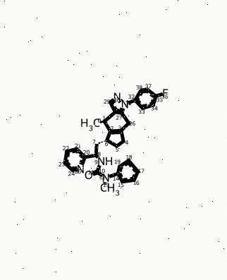 C[C@@H]1C2=C(CC[C@@H]2CC(NC(=O)N(C)c2ccccc2)c2ccccn2)Cc2c1cnn2-c1ccc(F)cc1